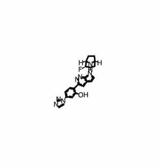 Oc1cc(-n2ccnn2)ccc1-c1cc2ccn([C@@H]3C[C@H]4CC[C@H](N4)[C@@H]3F)c2nn1